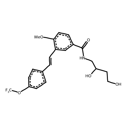 COc1ccc(C(=O)NCC(O)CCO)cc1C=Cc1ccc(OC(F)(F)F)cc1